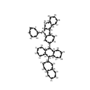 c1ccc(-n2c3cc(-c4c5ccccc5c(-c5ccc6ccccc6c5)c5ccccc45)ccc3c3c4ccccc4sc32)cc1